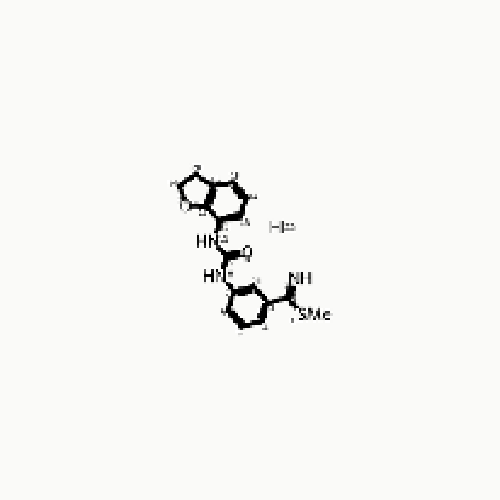 CSC(=N)c1cccc(NC(=O)Nc2cccc3c2OCC3)c1.I